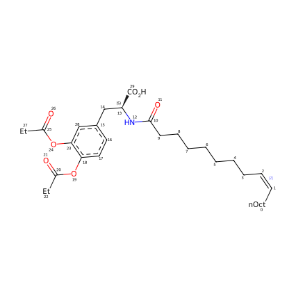 CCCCCCCC/C=C\CCCCCCCC(=O)N[C@@H](Cc1ccc(OC(=O)CC)c(OC(=O)CC)c1)C(=O)O